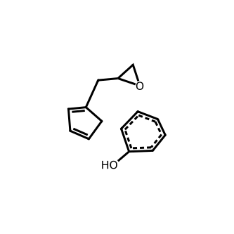 C1=CCC(CC2CO2)=C1.Oc1ccccc1